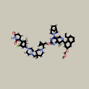 CCc1cccc2cc(OCOC)cc(-c3ncc4c(N5CC6CCC(C6)C5)nc(OCC5(CN6CCC(C)(CN7CCN(c8cc(F)c(C9CCC(=O)NC9=O)c(F)c8)CC7)CC6)CC5)nc4c3F)c12